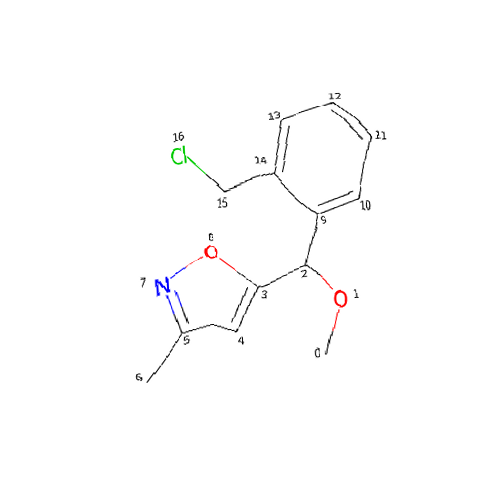 COC(c1cc(C)no1)c1ccccc1CCl